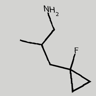 CC(CN)CC1(F)CC1